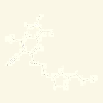 Cc1nn2c(N)c(C#N)c(NCCC3=NN(CCO)CC3)nc2c1Cl